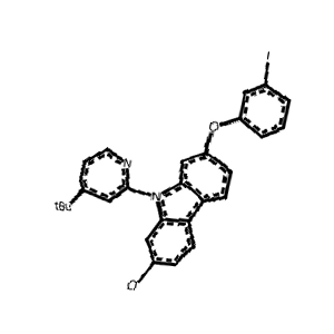 CC(C)(C)c1ccnc(-n2c3cc(Cl)ccc3c3ccc(Oc4cccc(I)c4)cc32)c1